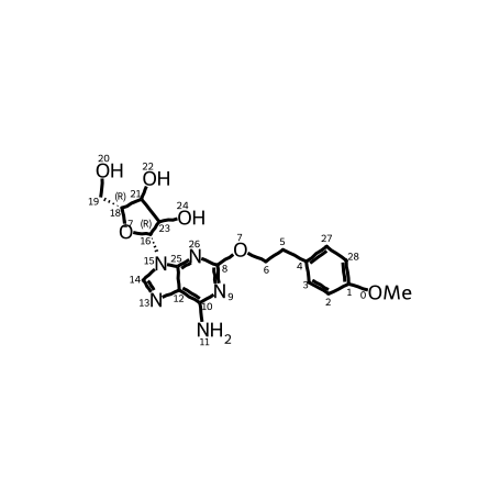 COc1ccc(CCOc2nc(N)c3ncn([C@@H]4O[C@H](CO)C(O)C4O)c3n2)cc1